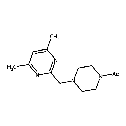 CC(=O)N1CCN(Cc2nc(C)cc(C)n2)CC1